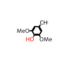 [CH]c1cc(OC)c(O)c(OC)c1